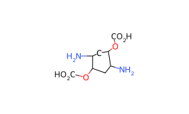 NC1CC(OC(=O)O)C(N)CC1OC(=O)O